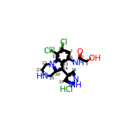 Cl.O=C(CO)Nc1cc(Cl)c(Cl)c2c1c(-c1cn[nH]c1)c1n2CCNC1